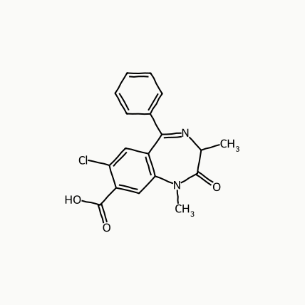 CC1N=C(c2ccccc2)c2cc(Cl)c(C(=O)O)cc2N(C)C1=O